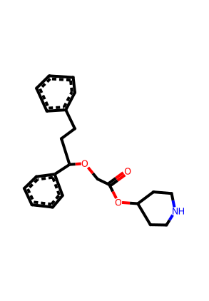 O=C(COC(CCc1ccccc1)c1ccccc1)OC1CCNCC1